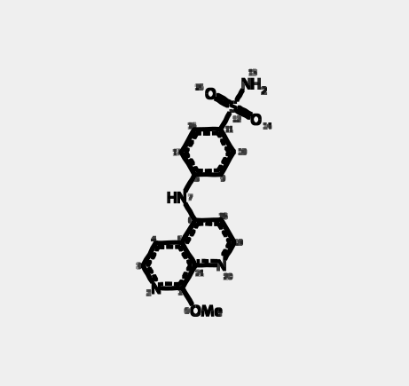 COc1nccc2c(Nc3ccc(S(N)(=O)=O)cc3)ccnc12